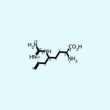 C=CCC(CC[C@H](N)C(=O)O)NC(=N)N